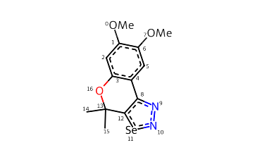 COc1cc2c(cc1OC)-c1nn[se]c1C(C)(C)O2